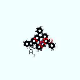 CC1(C)c2ccccc2-c2cccc(-c3ccccc3N(c3ccc4oc5ccccc5c4c3)c3cccc(-c4ccccc4)c3-c3ccccc3-c3ccccc3)c21